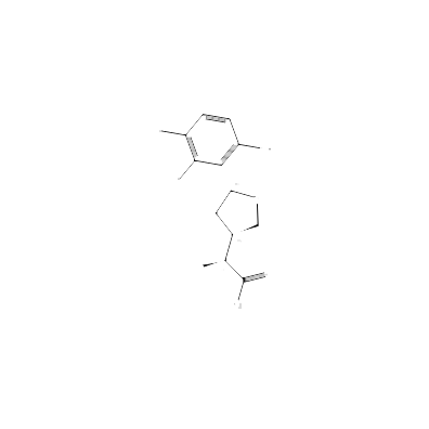 CC[C@H](C(N)=O)[C@@H]1CN[C@@H](c2c(O)ccc(Cl)c2Cl)C1